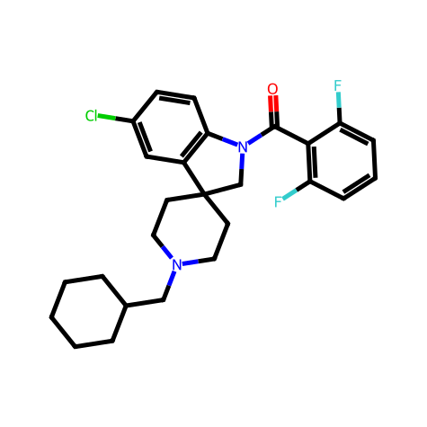 O=C(c1c(F)cccc1F)N1CC2(CCN(CC3CCCCC3)CC2)c2cc(Cl)ccc21